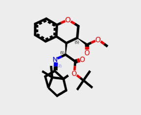 COC(=O)[C@@H]1COc2ccccc2C1[C@H](/N=C1/CC2CCC1(C)C2(C)C)C(=O)OC(C)(C)C